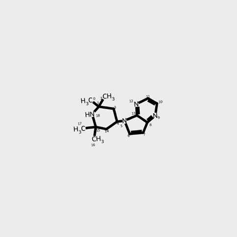 CC1(C)CC(n2ccc3nccnc32)CC(C)(C)N1